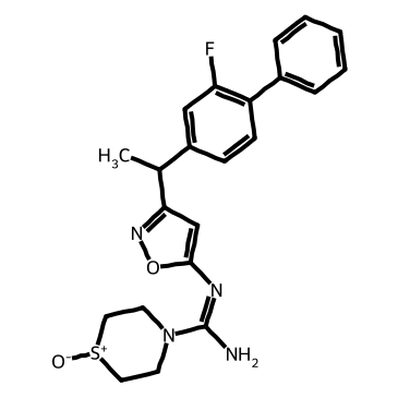 CC(c1ccc(-c2ccccc2)c(F)c1)c1cc(/N=C(/N)N2CC[S+]([O-])CC2)on1